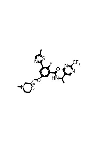 Cc1cnc(-c2cc(OC[C@H]3CN(C)CCO3)cc(C(=O)NC(C)c3cnc(C(F)(F)F)nc3)c2F)s1